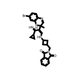 CC1(/C(=C/NC2CC(CN3C(=O)c4ccccc4C3=O)C2)C(=N)C2CC2)C=Nc2ccc(Br)cc2N1